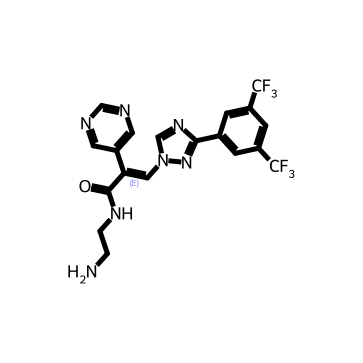 NCCNC(=O)/C(=C/n1cnc(-c2cc(C(F)(F)F)cc(C(F)(F)F)c2)n1)c1cncnc1